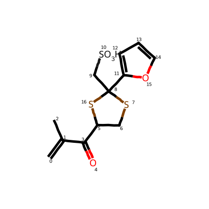 C=C(C)C(=O)C1CSC(CS(=O)(=O)O)(c2ccco2)S1